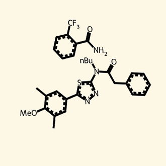 CCCCN(C(=O)Cc1ccccc1)c1nnc(-c2cc(C)c(OC)c(C)c2)s1.NC(=O)c1ccccc1C(F)(F)F